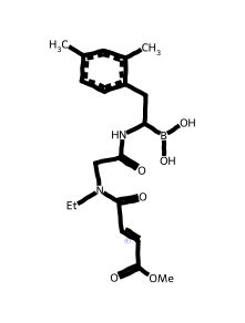 CCN(CC(=O)NC(Cc1ccc(C)cc1C)B(O)O)C(=O)/C=C/C(=O)OC